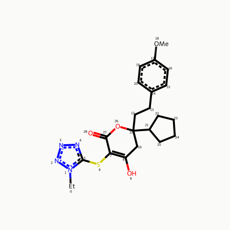 CCn1nnnc1SC1=C(O)CC(CCc2ccc(OC)cc2)(C2CCCC2)OC1=O